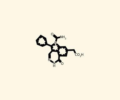 NC(=O)n1c(-c2ccccc2)c2c3c(cc(CC(=O)O)cc31)C(=O)NN=C2